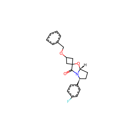 O=C1N2[C@@H](CC[C@H]2c2ccc(F)cc2)OC12CC(OCc1ccccc1)C2